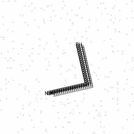 B.B.B.B.B.B.B.B.B.B.B.B.B.B.B.B.B.B.B.B.B.B.B.B.B.B.B.B.B.B.B.B.B.B.B.B.B.B.B.B.B.B.B.B.[NaH]